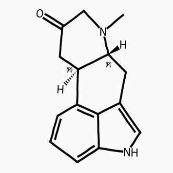 CN1CC(=O)C[C@@H]2c3cccc4[nH]cc(c34)C[C@H]21